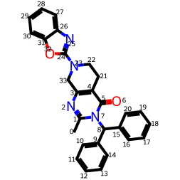 Cc1nc2c(c(=O)n1C(c1ccccc1)c1ccccc1)CCN(c1nc3ccccc3o1)C2